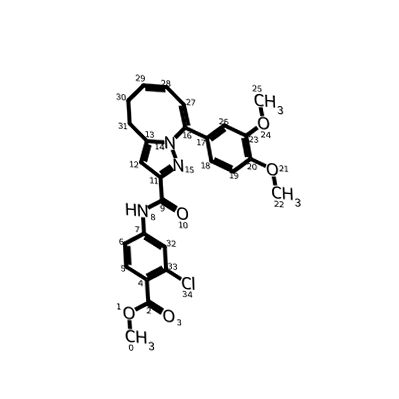 COC(=O)c1ccc(NC(=O)c2cc3n(n2)/C(c2ccc(OC)c(OC)c2)=C\C=C/CC3)cc1Cl